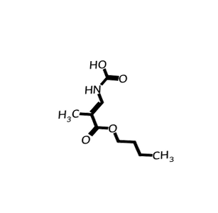 CCCCOC(=O)C(C)=CNC(=O)O